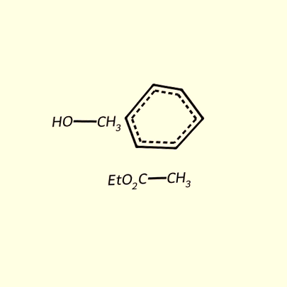 CCOC(C)=O.CO.c1ccccc1